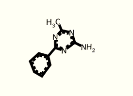 Cc1nc(N)nc(-c2ccccc2)n1